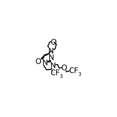 O=c1cc(N2CCOCC2)nc2n1CC[C@@H](C(F)(F)F)N2CCOCC(F)(F)F